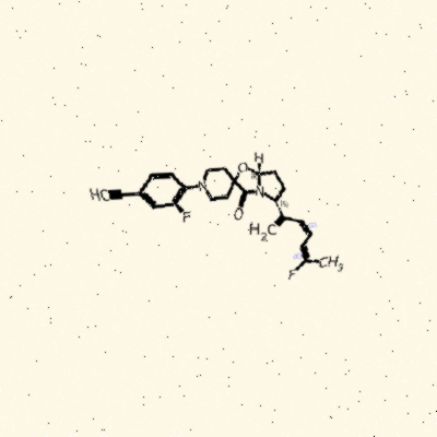 C#Cc1ccc(N2CCC3(CC2)O[C@@H]2CC[C@@H](C(=C)/C=C\C=C(/C)F)N2C3=O)c(F)c1